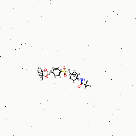 CC(C)(C)C(=O)NC12CCC(CS(=O)(=O)c3ccc(B4OC(C)(C)C(C)(C)O4)cc3)(CC1)C2